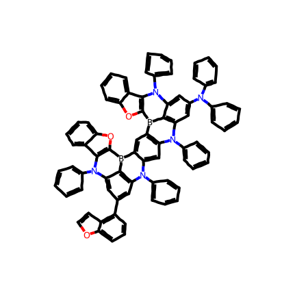 c1ccc(N(c2ccccc2)c2cc3c4c(c2)N(c2ccccc2)c2c(oc5ccccc25)B4c2cc4c(cc2N3c2ccccc2)N(c2ccccc2)c2cc(-c3cccc5occc35)cc3c2B4c2oc4ccccc4c2N3c2ccccc2)cc1